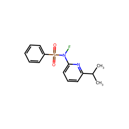 CC(C)c1cccc(N(F)S(=O)(=O)c2ccccc2)n1